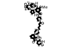 COc1cc(C(=O)NC2CCN(C(=O)CCCCN3CCN(c4cccc5c4C(=O)N(C4CCC(=O)NC4=O)C5=O)CC3)CC2)ccc1Nc1ncc2c(n1)N(C1CCCC1)CC(F)(F)C(=O)N2C